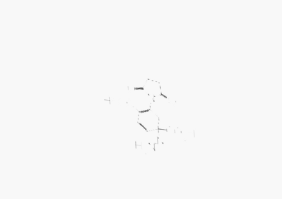 NNC1(C(=O)O)C=CC(C(=O)O)=C(N2C(=O)CCC2=O)C1